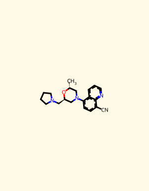 C[C@@H]1CN(c2ccc(C#N)c3ncccc23)C[C@@H](CN2CCCC2)O1